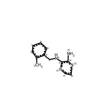 Cc1ccccc1CNc1nccnc1N